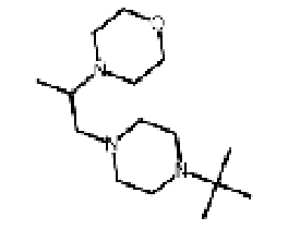 CC(CN1CCN(C(C)(C)C)CC1)N1CCOCC1